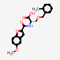 COc1ccc2oc(C(=O)N[C@@H](COCc3ccccc3C)C(=O)O)cc2c1